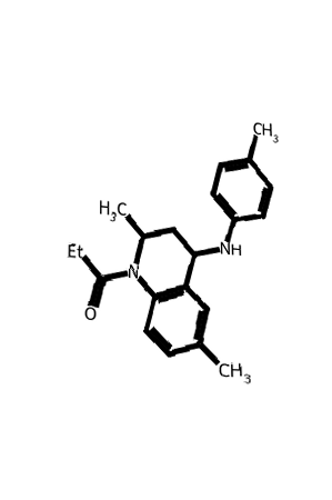 CCC(=O)N1c2ccc(C)cc2C(Nc2ccc(C)cc2)CC1C